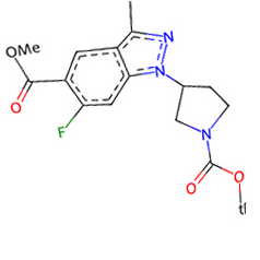 COC(=O)c1cc2c(C)nn(C3CCN(C(=O)OC(C)(C)C)C3)c2cc1F